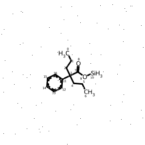 CCCC(CCC)(C(=O)O[SiH3])c1ccccc1